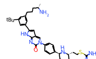 C[C@H](N)CCCc1cc(-c2cc3cn(-c4ccc([C@@H]5CCC[C@@H](CCSC(=N)N)N5)cc4)c(=O)nc3[nH]2)cc(C(C)(C)C)c1